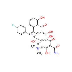 CN(C)[C@H]1C(O)=C(C(N)=O)C(=O)[C@]2(O)C(O)=C3C(=O)c4c(O)cccc4/C(=C\c4ccc(F)cc4)[C@@H]3[C@@H](O)[C@H]12